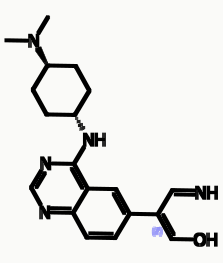 CN(C)[C@H]1CC[C@H](Nc2ncnc3ccc(/C(C=N)=C/O)cc23)CC1